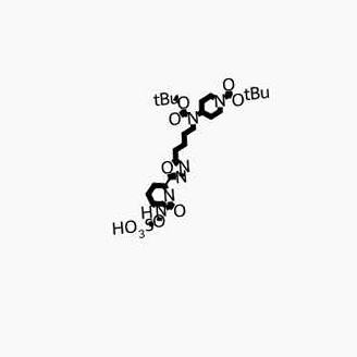 CC(C)(C)OC(=O)N1CCC(N(CCCCc2nnc([C@@H]3CC[C@H]4CN3C(=O)N4OS(=O)(=O)O)o2)C(=O)OC(C)(C)C)CC1